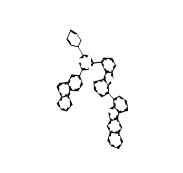 C1=CCC(c2nc(-c3ccc4c(ccc5ccccc54)c3)nc(-c3cccc4oc5c(-c6cccc7c6sc6cc8ccccc8cc67)cccc5c34)n2)C=C1